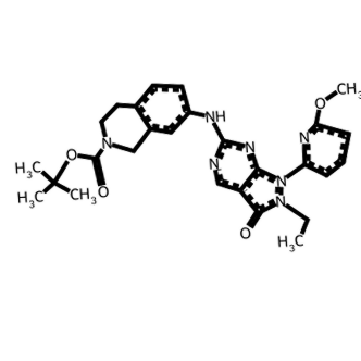 CCn1c(=O)c2cnc(Nc3ccc4c(c3)CN(C(=O)OC(C)(C)C)CC4)nc2n1-c1cccc(OC)n1